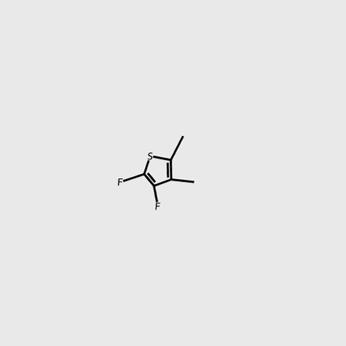 Cc1sc(F)c(F)c1C